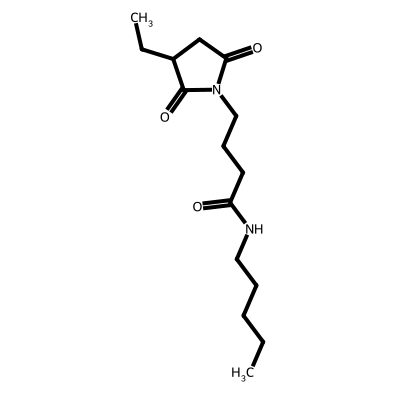 CCCCCNC(=O)CCCN1C(=O)CC(CC)C1=O